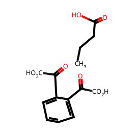 CCCC(=O)O.O=C(O)C(=O)c1ccccc1C(=O)C(=O)O